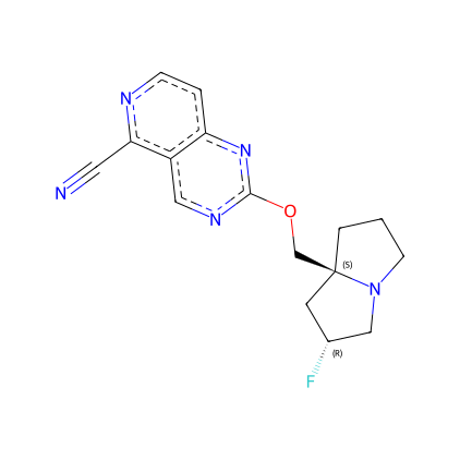 N#Cc1nccc2nc(OC[C@@]34CCCN3C[C@H](F)C4)ncc12